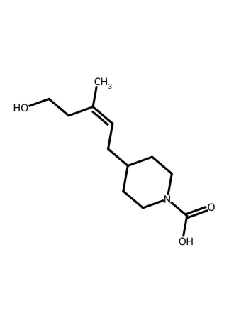 CC(=CCC1CCN(C(=O)O)CC1)CCO